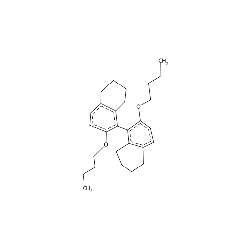 CCCCOc1ccc2c(c1-c1c(OCCCC)ccc3c1CCCC3)CCCC2